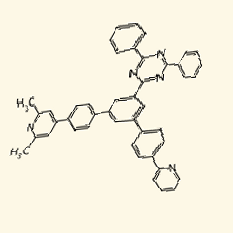 Cc1cc(-c2ccc(-c3cc(-c4ccc(-c5ccccn5)cc4)cc(-c4nc(-c5ccccc5)nc(-c5ccccc5)n4)c3)cc2)cc(C)n1